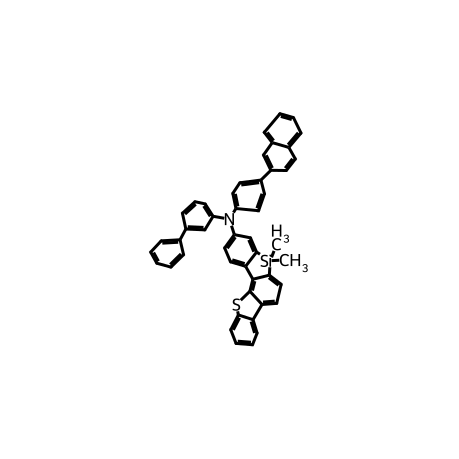 C[Si]1(C)c2cc(N(c3ccc(-c4ccc5ccccc5c4)cc3)c3cccc(-c4ccccc4)c3)ccc2-c2c1ccc1c2sc2ccccc21